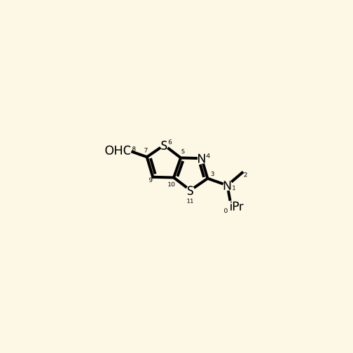 CC(C)N(C)c1nc2sc(C=O)cc2s1